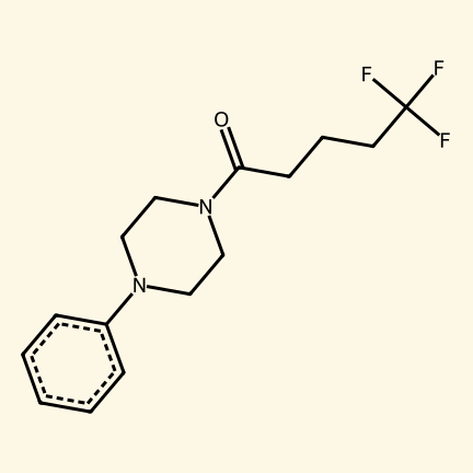 O=C(CCCC(F)(F)F)N1CCN(c2ccccc2)CC1